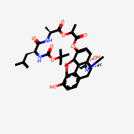 CC(C)C[C@H](NC(=O)OC(C)(C)C)C(=O)N[C@@H](C)C(=O)OC(C)C(=O)OC1=CC[C@@]2(O)[C@H]3Cc4ccc(O)c5c4[C@@]2(CCN3C)[C@H]1O5